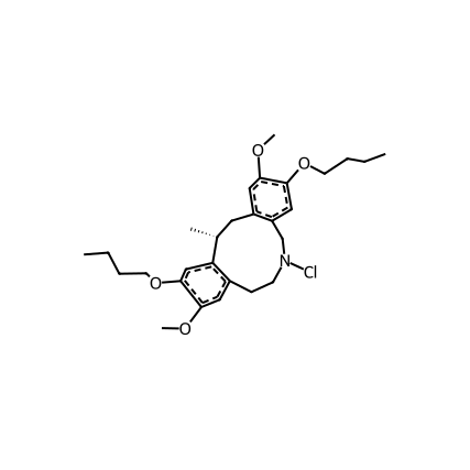 CCCCOc1cc2c(cc1OC)C[C@@H](C)c1cc(OCCCC)c(OC)cc1CCN(Cl)C2